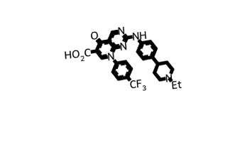 CCN1CCC(c2ccc(Nc3ncc4c(=O)c(C(=O)O)cn(-c5ccc(C(F)(F)F)cc5)c4n3)cc2)CC1